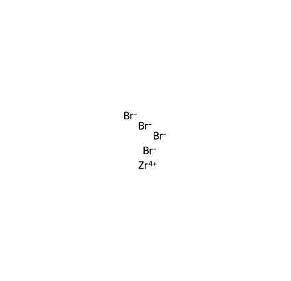 [Br-].[Br-].[Br-].[Br-].[Zr+4]